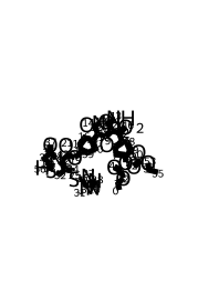 CCOC(=O)Oc1cc2oc(C(C(N)=O)c3ccc(OC(=O)C4=C(CSc5nnnn5C)CS[C@H]5CC(=O)N45)cc3)c(C(N)=O)c(=O)c2cc1OC(=O)OCC